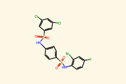 O=S(=O)(Nc1ccc(S(=O)(=O)Nc2ccc(F)cc2Br)cc1)c1cc(Cl)cc(Cl)c1